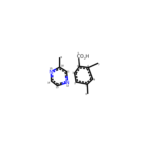 Cc1ccc(C(=O)O)c(C)c1.Cc1cnccn1